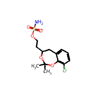 CC1(C)Oc2c(Cl)cccc2CC(CCOS(N)(=O)=O)O1